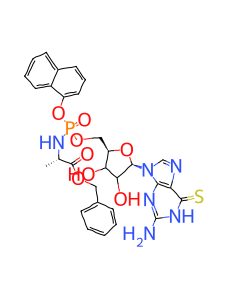 C[C@H](NP(=O)(OC[C@H]1O[C@@H](n2cnc3c(=S)[nH]c(N)nc32)C(O)C1O)Oc1cccc2ccccc12)C(=O)OCc1ccccc1